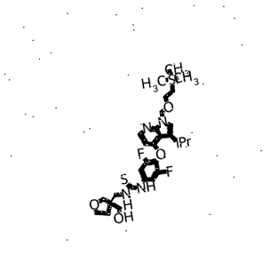 CC(C)c1cn(COCC[Si](C)(C)C)c2nccc(Oc3c(F)cc(NC(=S)NC[C@@]4(CO)CCOC4)cc3F)c12